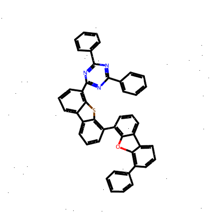 c1ccc(-c2nc(-c3ccccc3)nc(-c3cccc4c3sc3c(-c5cccc6c5oc5c(-c7ccccc7)cccc56)cccc34)n2)cc1